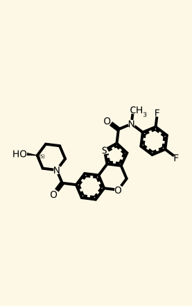 CN(C(=O)c1cc2c(s1)-c1cc(C(=O)N3CCC[C@H](O)C3)ccc1OC2)c1ccc(F)cc1F